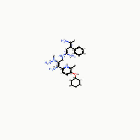 C/C(N)=C(/C=C(\N)NC/C(=C(/N)c1ccc(OC2CCCCC2)c(C)n1)N(C)N)c1ccccc1